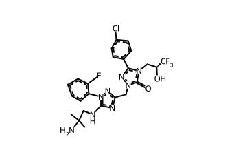 CC(C)(N)CNc1nc(Cn2nc(-c3ccc(Cl)cc3)n(C[C@H](O)C(F)(F)F)c2=O)nn1-c1ccccc1F